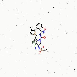 CCS(=O)(=O)N[C@@H]1CN2C(=O)N(c3noc4cccc(-c5sccc5C)c34)CC[C@@H]2C1(F)F